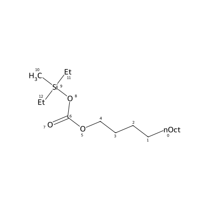 CCCCCCCCCCCCOC(=O)O[Si](C)(CC)CC